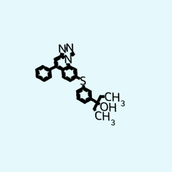 CCC(O)(CC)c1cccc(Sc2ccc3c(-c4ccccc4)cc4nncn4c3c2)c1